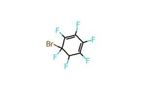 FC1=C(F)C(F)C(F)(Br)C(F)=C1F